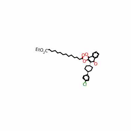 CCOC(=O)CCCCCCCCCCCCC(=O)OC1=C([C@H]2CC[C@H](c3ccc(Cl)cc3)CC2)C(=O)c2ccccc2C1=O